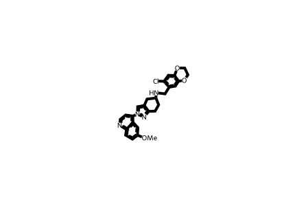 COc1ccc2nccc(-n3cc4c(n3)CCC(NCc3cc5c(cc3Cl)OCCO5)C4)c2c1